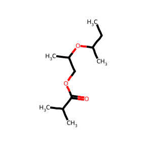 CCC(C)OC(C)COC(=O)C(C)C